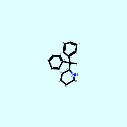 CC(c1ccccc1)(c1ccccc1)C1CCCCN1